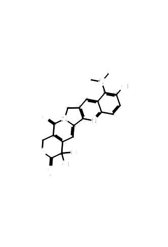 CCC1(O)C(=O)OCc2c1cc1n(c2=O)Cc2cc3c(N(C)C)c(O)ccc3nc2-1